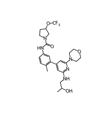 Cc1ccc(NC(=O)N2CCC(OC(F)(F)F)C2)cc1-c1cc(NCC(C)O)nc(N2CCOCC2)c1